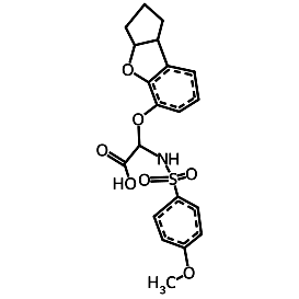 COc1ccc(S(=O)(=O)NC(Oc2cccc3c2OC2CCCC32)C(=O)O)cc1